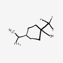 CC(C)C1CCC(O)(C(F)(F)F)CC1